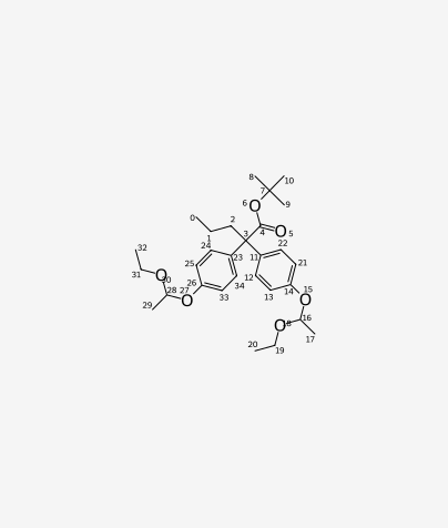 CCCC(C(=O)OC(C)(C)C)(c1ccc(OC(C)OCC)cc1)c1ccc(OC(C)OCC)cc1